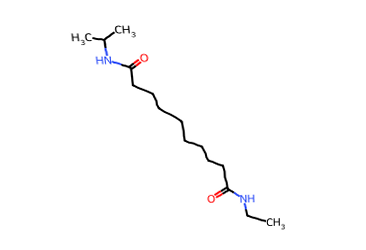 CCNC(=O)CCCCCCCCC(=O)NC(C)C